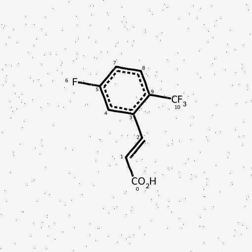 O=C(O)C=Cc1cc(F)ccc1C(F)(F)F